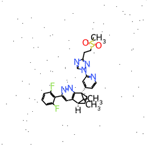 CC1(C)[C@H]2CC[C@]1(c1ccnc(-n3cnc(CCS(C)(=O)=O)n3)c1)c1nnc(-c3c(F)cccc3F)cc12